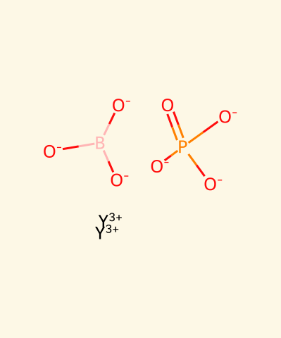 O=P([O-])([O-])[O-].[O-]B([O-])[O-].[Y+3].[Y+3]